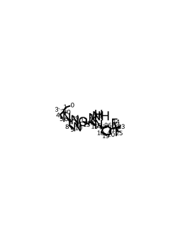 CC[C@]1(C)CCN(c2ccnc(OC/C(=C/Nc3cccc(C(C)(F)F)c3)N=N)n2)C1